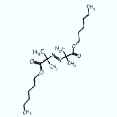 CCCCCCOC(=O)C(C)(C)N=NC(C)(C)C(=O)OCCCCCC